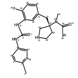 Cc1ccc(NC(=O)Nc2cc(C[C@@]3(N(C)C(=O)C(C)C)CCNC3)ccc2F)cn1